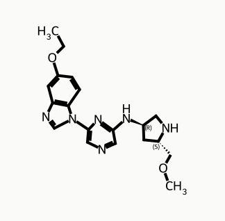 CCOc1ccc2c(c1)ncn2-c1cncc(N[C@H]2CN[C@H](COC)C2)n1